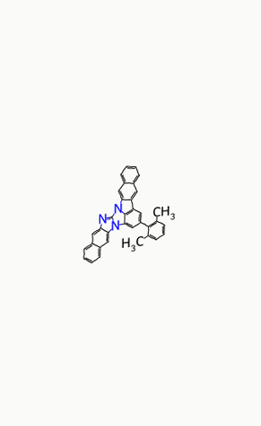 Cc1cccc(C)c1-c1cc2c3cc4ccccc4cc3n3c2c(c1)n1c2cc4ccccc4cc2nc13